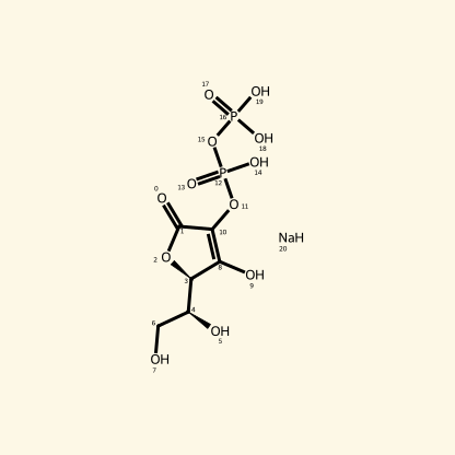 O=C1O[C@H]([C@@H](O)CO)C(O)=C1OP(=O)(O)OP(=O)(O)O.[NaH]